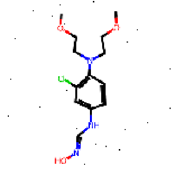 COCCN(CCOC)c1ccc(N/C=N/O)cc1Cl